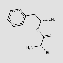 CC[C@H](N)C(=O)O[C@@H](C)Cc1ccccc1